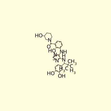 CC(C)(C)C(Nc1nsnc1Nc1cccc(C(=O)N2CCCC(O)C2)c1O)c1ccc(O)c(O)c1